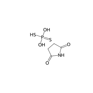 O=C1CCC(=O)N1.OP(O)(=S)S